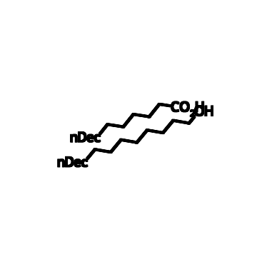 CCCCCCCCCCCCCCCC(=O)O.CCCCCCCCCCCCCCCCCCO